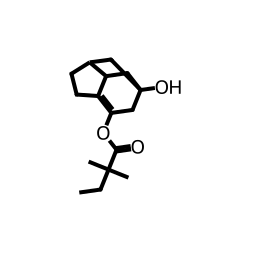 CCC(C)(C)C(=O)OC1=C2CCC3CC(O)(C1)CC23